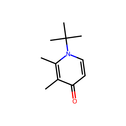 Cc1c(C)n(C(C)(C)C)ccc1=O